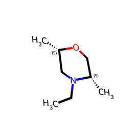 CCN1C[C@H](C)OC[C@@H]1C